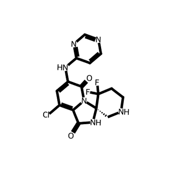 O=C1N[C@@]2(CNCCC2(F)F)n2c1c(Cl)cc(Nc1ccncn1)c2=O